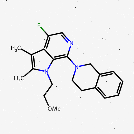 COCCn1c(C)c(C)c2c(F)cnc(N3CCc4ccccc4C3)c21